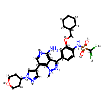 Cn1nc(-c2ccc(NS(=O)(=O)C(F)F)c(OCC3CCCCC3)c2)c2c(N)ncc(-c3cnn(C4CCOCC4)c3)c21